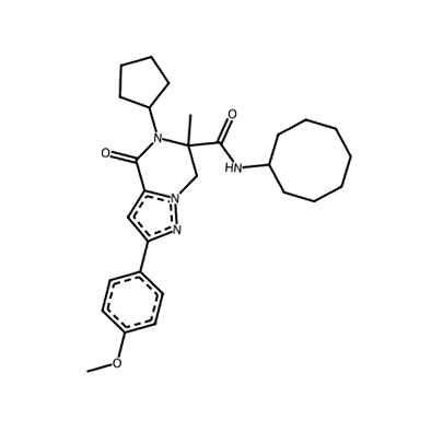 COc1ccc(-c2cc3n(n2)CC(C)(C(=O)NC2CCCCCCC2)N(C2CCCC2)C3=O)cc1